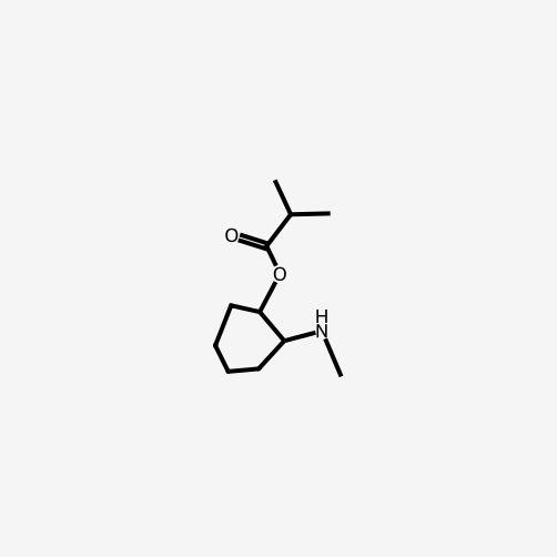 CNC1CCCCC1OC(=O)C(C)C